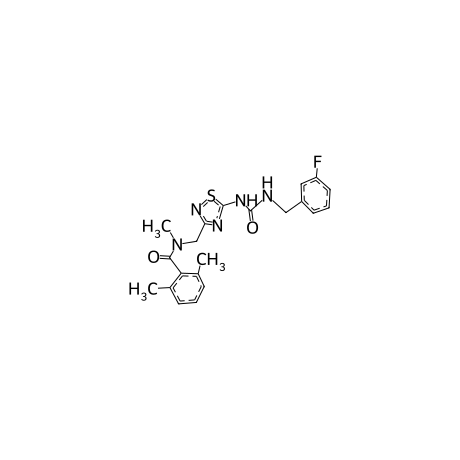 Cc1cccc(C)c1C(=O)N(C)Cc1nsc(NC(=O)NCc2cccc(F)c2)n1